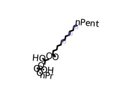 CCCCC/C=C/C/C=C/C/C=C/CCCCC(=O)OCC(O)COP(=O)(O)OCCC